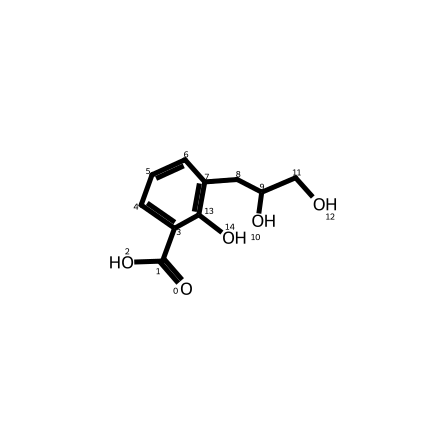 O=C(O)c1cccc(CC(O)CO)c1O